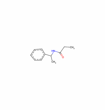 CCC(=O)NC(C)c1ccccc1